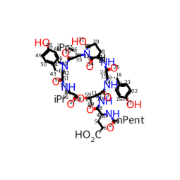 CCCCCC(=O)N[C@@H](CCC(=O)O)C(=O)N[C@@H]1C(=O)N[C@@H](Cc2ccc(O)cc2)C(=O)N[C@H]2CC[C@@H](O)N(C2=O)[C@@H](CC(C)C)C(=O)N(C)[C@@H](Cc2ccc(O)cc2)C(=O)N[C@@H](C(C)C)C(=O)O[C@@H]1C